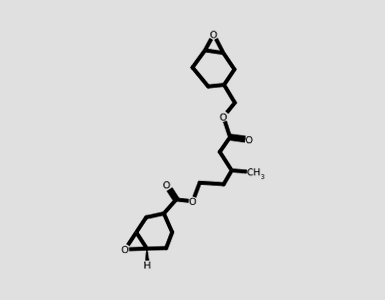 CC(CCOC(=O)C1CC[C@@H]2OC2C1)CC(=O)OCC1CCC2OC2C1